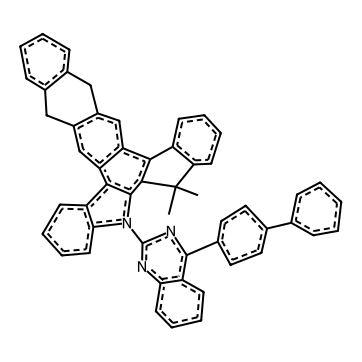 CC1(C)c2ccccc2-c2c1c1c(c3cc4c(cc23)Cc2ccccc2C4)c2ccccc2n1-c1nc(-c2ccc(-c3ccccc3)cc2)c2ccccc2n1